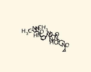 Cc1cc(C(=O)Nc2cccc(-n3ncc4c(=O)n(CC5(O)CCN(C(=O)C6CC6)CC5)cnc43)c2)n(C)n1